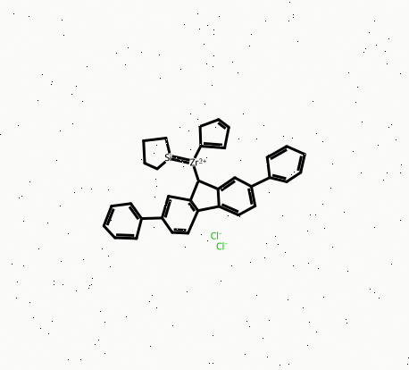 C1=CC[C]([Zr+2]([CH]2c3cc(-c4ccccc4)ccc3-c3ccc(-c4ccccc4)cc32)=[Si]2CCCC2)=C1.[Cl-].[Cl-]